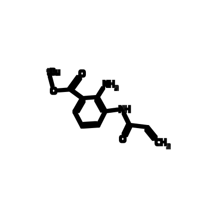 C=CC(=O)Nc1cccc(C(=O)OC(C)(C)C)c1N